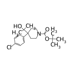 CC(C)(C)OC(=O)N1CCC(c2ccc(Cl)cc2)(C(C)(C)O)CC1